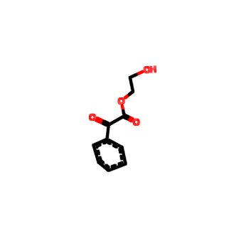 O=C(OCCO)C(=O)c1ccccc1